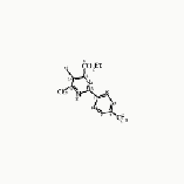 CCOC(=O)c1nc(-c2ccc(C(F)(F)F)cc2)nc(Cl)c1C